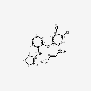 Clc1ccc(Oc2ccccc2NC2=NCCN2)cc1Cl.O=C(O)/C=C/C(=O)O